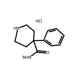 CNC(=O)C1(c2ccccc2)CCNCC1.Cl